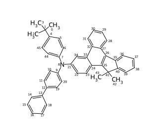 CC(C)(C)c1ccc(N(c2ccc(-c3ccccc3)cc2)c2ccc3c4c(c5ccccc5c3c2)-c2ccccc2C4(C)C)cc1